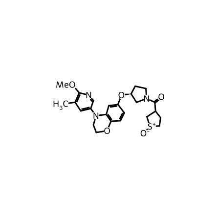 COc1ncc(N2CCOc3ccc(O[C@H]4CCN(C(=O)C5CC[S+]([O-])C5)C4)cc32)cc1C